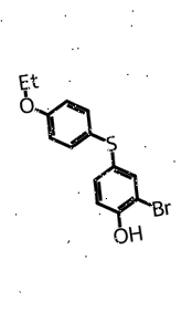 CCOc1ccc(Sc2ccc(O)c(Br)c2)cc1